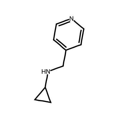 c1cc(CNC2CC2)ccn1